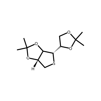 CC1(C)OCC([C@@H]2SC[C@@H]3OC(C)(C)OC23)O1